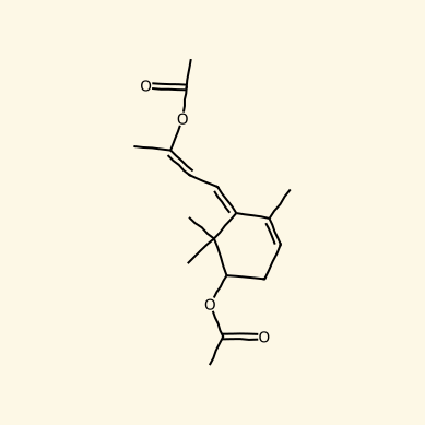 CC(=O)O/C(C)=C\C=C1\C(C)=CCC(OC(C)=O)C1(C)C